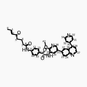 C/C=C/C(=O)CCCC(=O)Nc1ccc(S(=O)(=O)Nc2cc(-c3ccc4nccc(-c5ccncc5)c4c3)cnc2OC)cc1